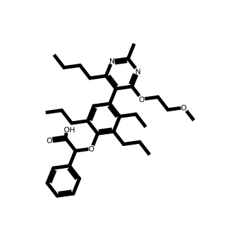 CCCCc1nc(C)nc(OCCOC)c1-c1cc(CCC)c(OC(C(=O)O)c2ccccc2)c(CCC)c1CC